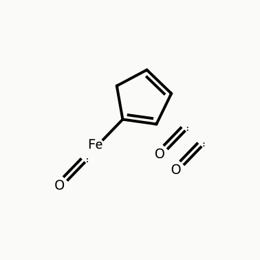 [C]=O.[C]=O.[C]=O.[Fe][C]1=CC=CC1